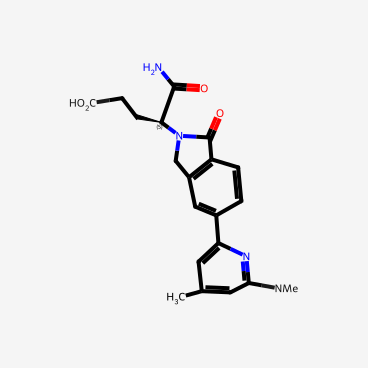 CNc1cc(C)cc(-c2ccc3c(c2)CN([C@@H](CCC(=O)O)C(N)=O)C3=O)n1